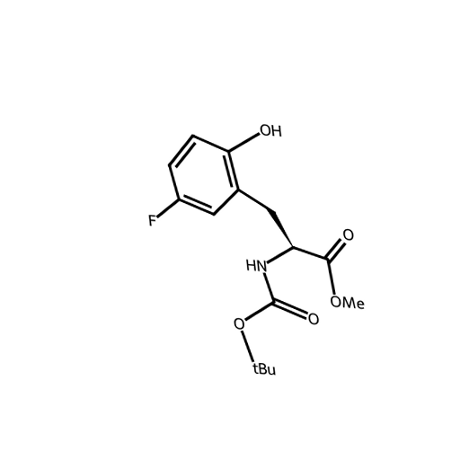 COC(=O)[C@H](Cc1cc(F)ccc1O)NC(=O)OC(C)(C)C